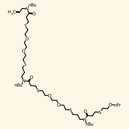 C=CCN(CCCC)C(=O)CCSCCOCCOCCSCCCN(CCCC)C(=O)CCSCCOCCOCCSCCCN(CCCC)C(=O)CCSCCOCCC